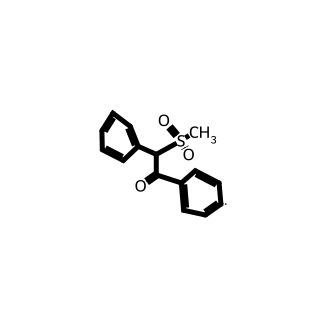 CS(=O)(=O)C(C(=O)c1cc[c]cc1)c1ccccc1